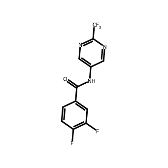 O=C(Nc1cnc(C(F)(F)F)nc1)c1ccc(F)c(F)c1